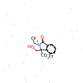 CCOC(=O)C1(CO)c2ccccc2C(=O)N1CC(F)(F)F